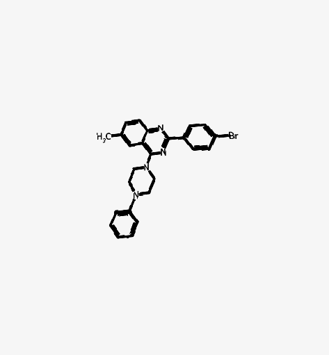 Cc1ccc2nc(-c3ccc(Br)cc3)nc(N3CCN(c4ccccc4)CC3)c2c1